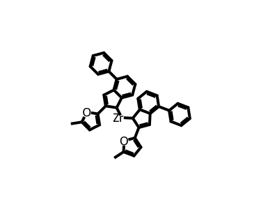 Cc1ccc(C2=Cc3c(-c4ccccc4)cccc3[CH]2[Zr][CH]2C(c3ccc(C)o3)=Cc3c(-c4ccccc4)cccc32)o1